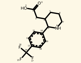 O=C(O)CC1CCCNC1c1ccc(C(F)(F)F)cc1